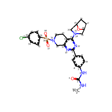 CNC(=O)Nc1ccc(-c2nc3c(c(N4CC5CCC(C4)O5)n2)CCN(S(=O)(=O)c2ccc(Cl)cc2)C3)cc1